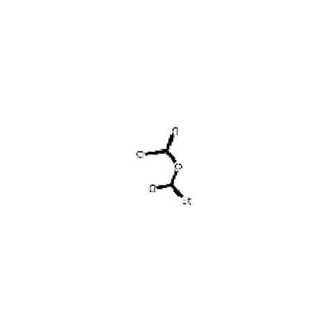 CCC(Cl)OC(Cl)Cl